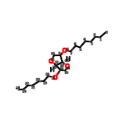 CCCCCCCCO[C@@H]1CO[C@H]2[C@@H]1OC[C@H]2OCCCCCCC